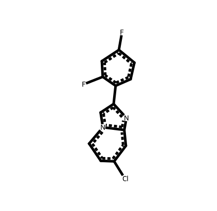 Fc1ccc(-c2cn3ccc(Cl)cc3n2)c(F)c1